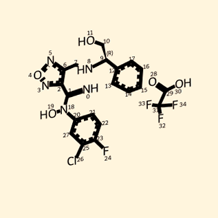 N=C(c1nonc1CN[C@@H](CO)c1ccccc1)N(O)c1ccc(F)c(Cl)c1.O=C(O)C(F)(F)F